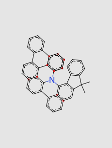 CC1(C)c2ccccc2-c2c(N(c3ccccc3-c3ccccc3)c3ccccc3-c3ccccc3-c3ccccc3-c3ccccc3)cccc21